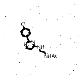 CC(=O)NCCNc1c[c]nc(-c2ccc(Cl)cc2)n1